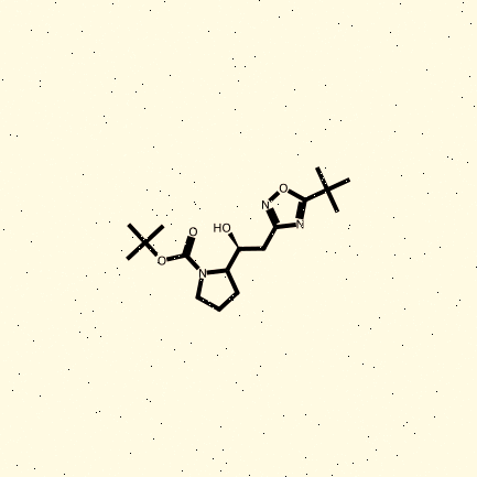 CC(C)(C)OC(=O)N1CCCC1[C@@H](O)Cc1noc(C(C)(C)C)n1